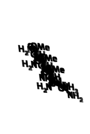 COc1ccc(NC(=O)[C@H](CCCCN)NC(=O)c2cc(NC(=O)[C@H](CCCCCN)NC(=O)c3cc(NC(=O)[C@H](CCCCN)NC(=O)c4ccc(NC(=O)[C@@H](N)CCCCN)cc4)ccc3OC)ccc2OC)cc1C(N)=O